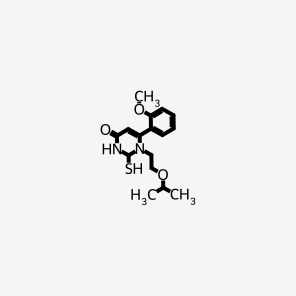 COc1ccccc1C1=CC(=O)NC(S)N1CCOC(C)C